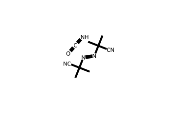 CC(C)(C#N)N=NC(C)(C)C#N.N=C=O